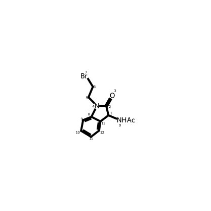 CC(=O)NC1C(=O)N(CCBr)c2ccccc21